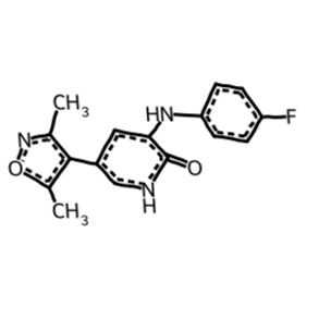 Cc1noc(C)c1-c1c[nH]c(=O)c(Nc2ccc(F)cc2)c1